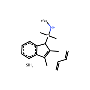 C=CC=C.CC1=C(C)[CH]([Ti]([CH3])([CH3])[NH]C(C)(C)C)c2ccccc21.[SiH4]